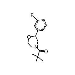 CC(C)(C)C(=O)N1CCOC(c2cccc(F)c2)C1